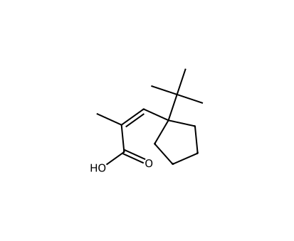 CC(=CC1(C(C)(C)C)CCCC1)C(=O)O